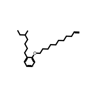 C=CCCCCCCCCCOc1c[c]ccc1CCCCC(C)CC